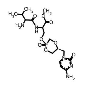 COC(=O)C(COP1(=O)CO[C@@H](Cn2ccc(N)nc2=O)CO1)NC(=O)C(N)C(C)C